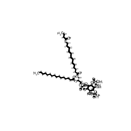 CCCCCCCCCCCCCCCC(=O)O[C@H](COC(=O)CCCCCCCCCCCCSC(=O)CCC)COP(=O)(O)OC1C(O)[C@@H](OP(=O)(O)O)C(O)[C@@H](OP(=O)(O)O)[C@H]1O